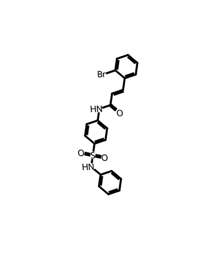 O=C(C=Cc1ccccc1Br)Nc1ccc(S(=O)(=O)Nc2ccccc2)cc1